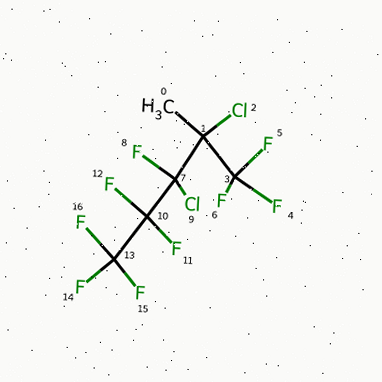 CC(Cl)(C(F)(F)F)C(F)(Cl)C(F)(F)C(F)(F)F